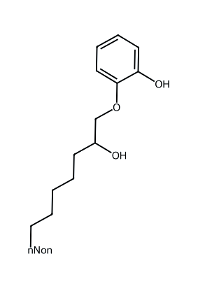 CCCCCCCCCCCCCCC(O)COc1ccccc1O